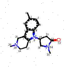 Cc1ccc2c(c1)c1c(n2C2CC(=O)N(C)C2)CCN(C)C1